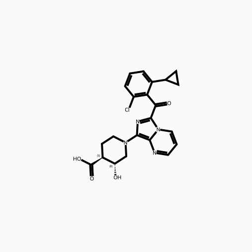 O=C(c1c(Cl)cccc1C1CC1)c1nc(N2CC[C@H](C(=O)O)[C@@H](O)C2)c2ncccn12